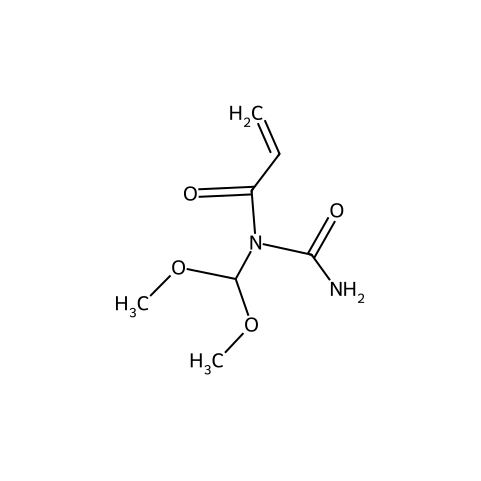 C=CC(=O)N(C(N)=O)C(OC)OC